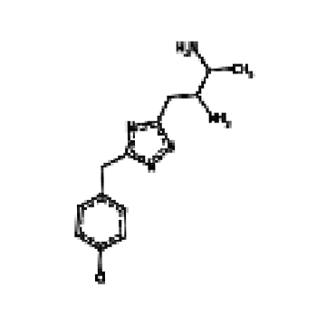 CC(N)C(N)Cc1nc(Cc2ccc(Cl)cc2)ns1